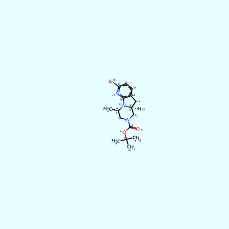 C[C@@H]1CN(C(=O)OC(C)(C)C)C[C@@H]2Cc3ccc(Br)nc3N21